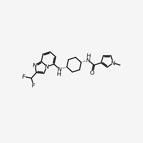 Cn1ccc(C(=O)N[C@H]2CC[C@@H](Nc3cccc4nc(C(F)F)cn34)CC2)c1